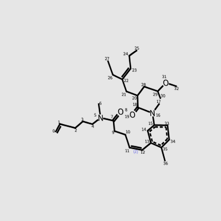 C=CCCCN(C)C(=O)CC/C=C\c1cc(N(C)C(=O)C(CC(=CCC)CC)CC(C)OC)ccc1C